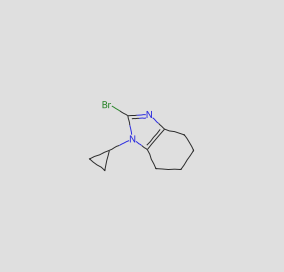 Brc1nc2c(n1C1CC1)CCCC2